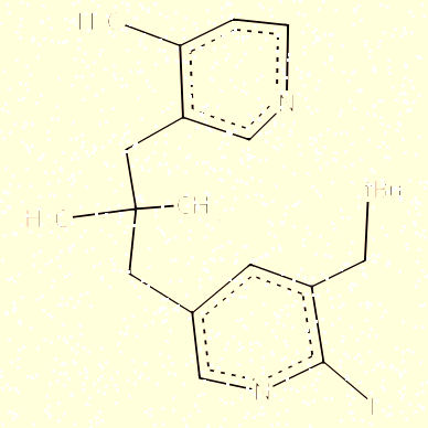 Cc1ccncc1CC(C)(C)Cc1cnc(F)c(CC(C)(C)C)c1